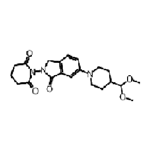 COC(OC)C1CCN(c2ccc3c(c2)C(=O)N(N2C(=O)CCCC2=O)C3)CC1